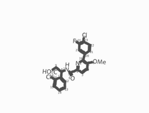 COc1ccc(C(=O)NC(CC(=O)O)c2ccccc2Cl)nc1-c1ccc(Cl)c(F)c1